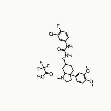 COc1ccc(C23CCC(SNC(=O)Nc4ccc(F)c(Cl)c4)CC2N(C)CC3)cc1OC.O=C(O)C(F)(F)F